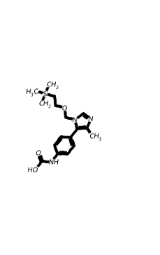 Cc1ncn(COCC[Si](C)(C)C)c1-c1ccc(NC(=O)O)cc1